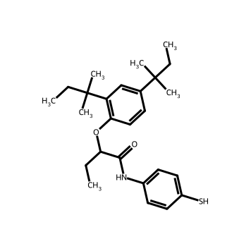 CCC(Oc1ccc(C(C)(C)CC)cc1C(C)(C)CC)C(=O)Nc1ccc(S)cc1